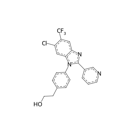 OCCc1ccc(-n2c(-c3cccnc3)nc3cc(C(F)(F)F)c(Cl)cc32)cc1